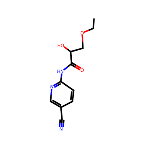 CCOCC(O)C(=O)Nc1ccc(C#N)cn1